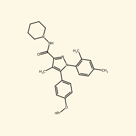 CCCOc1ccc(-c2c(C)c(C(=O)NN3CCCCC3)nn2-c2ccc(C)cc2C)cc1